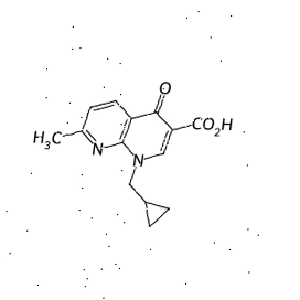 Cc1ccc2c(=O)c(C(=O)O)cn(CC3CC3)c2n1